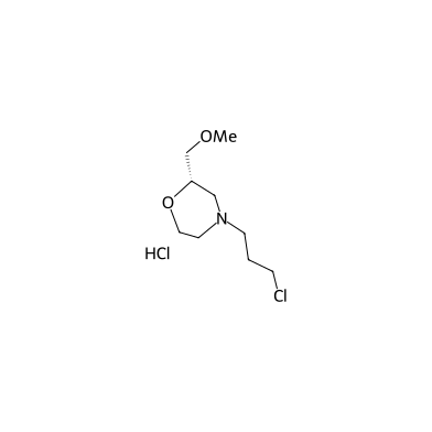 COC[C@@H]1CN(CCCCl)CCO1.Cl